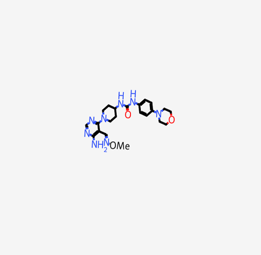 CON=Cc1c(N)ncnc1N1CCC(NC(=O)Nc2ccc(N3CCOCC3)cc2)CC1